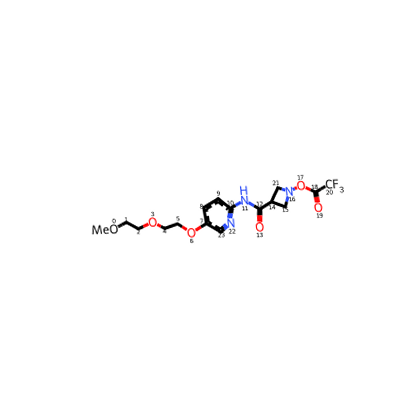 COCCOCCOc1ccc(NC(=O)C2CN(OC(=O)C(F)(F)F)C2)nc1